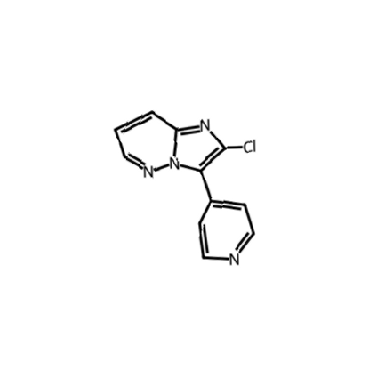 Clc1nc2cccnn2c1-c1ccncc1